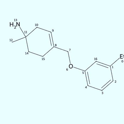 CCc1cccc(OCC2=CCC(C)(N)CC2)c1